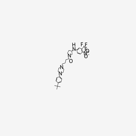 CC(C)(C)c1ccc(N2CCN(CCCC(=O)N3CCC(Nc4ccc([N+](=O)[O-])c(C(F)(F)F)c4)C3)CC2)cc1